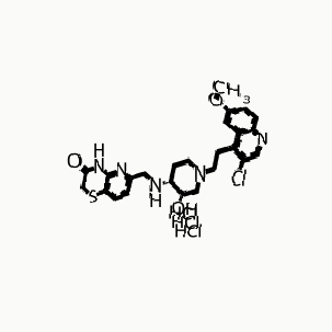 COc1ccc2ncc(Cl)c(CCN3CC[C@@H](NCc4ccc5c(n4)NC(=O)CS5)[C@H](O)C3)c2c1.Cl.Cl.Cl